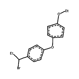 CCOc1ccc(Oc2ccc(C(Br)CC)cc2)cc1